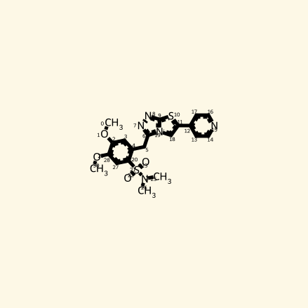 COc1cc(Cc2nnc3sc(-c4ccncc4)cn23)c(S(=O)(=O)N(C)C)cc1OC